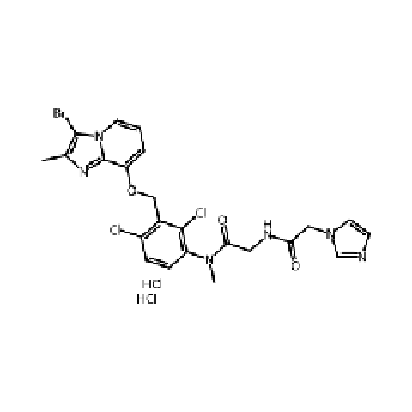 Cc1nc2c(OCc3c(Cl)ccc(N(C)C(=O)CNC(=O)Cn4ccnc4)c3Cl)cccn2c1Br.Cl.Cl